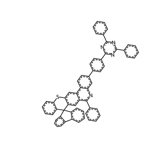 c1ccc(-c2nc(-c3ccccc3)nc(-c3ccc(-c4ccc5c(c4)nc(-c4ccccc4)c4cc6c(cc45)Sc4ccccc4C64c5ccccc5-c5ccccc54)cc3)n2)cc1